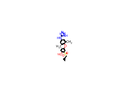 Cc1cc(Nc2nnn[nH]2)cc(C)c1Oc1ccc(O)c(S(=O)(=O)CC2CC2)c1